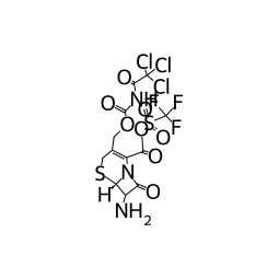 NC1C(=O)N2C(C(=O)OS(=O)(=O)C(F)(F)F)=C(COC(=O)NC(=O)C(Cl)(Cl)Cl)CS[C@@H]12